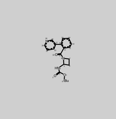 CC(C)(C)OC(=O)NC1CCN1C(=O)c1ccccc1-c1[c]nccc1